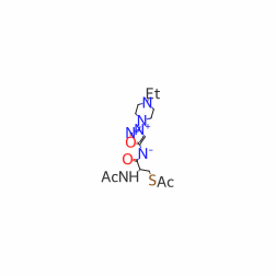 CCN1CCN([n+]2cc([N-]C(=O)[C@H](CSC(C)=O)NC(C)=O)on2)CC1